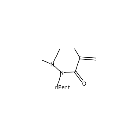 C=C(C)C(=O)N(CCCCC)N(C)C